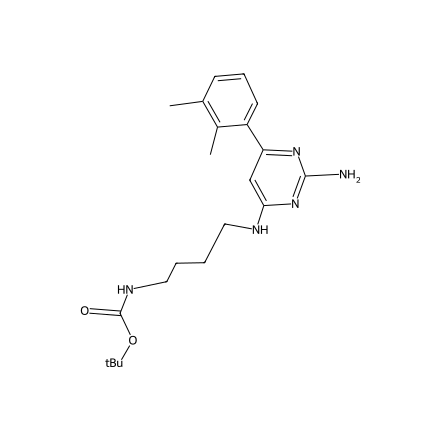 Cc1cccc(-c2cc(NCCCCNC(=O)OC(C)(C)C)nc(N)n2)c1C